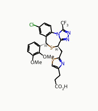 COc1cccc([C@H]2S[C@H](Cc3nc(CCC(=O)O)cs3)c3nnc(C(F)(F)F)n3-c3ccc(Cl)cc32)c1OC